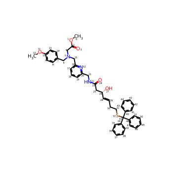 COC(=O)CN(Cc1ccc(OC)cc1)Cc1cccc(CNC(=O)C[C@H](O)C=CCCSC(c2ccccc2)(c2ccccc2)c2ccccc2)n1